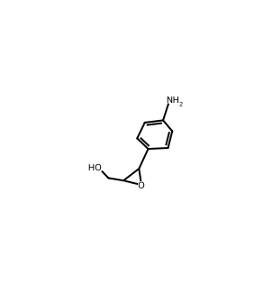 Nc1ccc(C2OC2CO)cc1